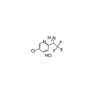 Cl.NC(c1ccc(Cl)cn1)C(F)(F)F